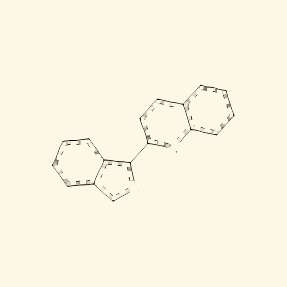 c1ccc2nc(-c3scc4ccccc34)ccc2c1